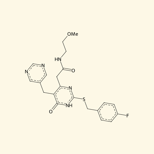 COCCNC(=O)Cc1nc(SCc2ccc(F)cc2)[nH]c(=O)c1Cc1cncnc1